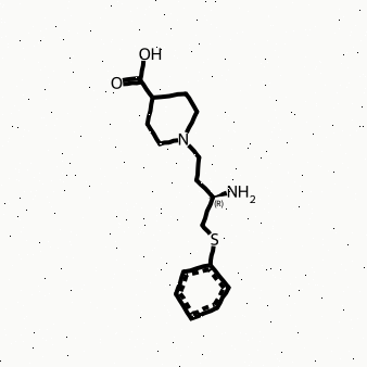 N[C@H](CCN1CCC(C(=O)O)CC1)CSc1ccccc1